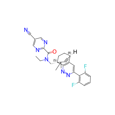 CCN(C[C@]12CC[C@H](C#CC1(C)C)c1cc(-c3c(F)cccc3F)nnc12)C(=O)c1ncc(C#N)cn1